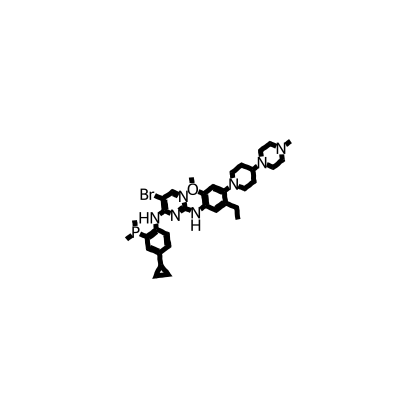 CCc1cc(Nc2ncc(Br)c(Nc3ccc(C4CC4)cc3P(C)C)n2)c(OC)cc1N1CCC(N2CCN(C)CC2)CC1